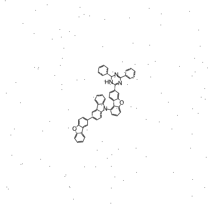 c1ccc(C2=NC(c3ccccc3)NC(c3ccc4c(c3)oc3cccc(-n5c6ccccc6c6cc(-c7ccc8oc9ccccc9c8c7)ccc65)c34)=N2)cc1